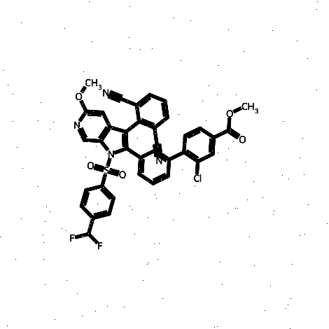 COC(=O)c1ccc(-c2cccc(-c3c(-c4c(C#N)cccc4C#N)c4cc(OC)ncc4n3S(=O)(=O)c3ccc(C(F)F)cc3)c2)c(Cl)c1